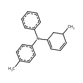 Cc1ccc(N(C2=CC=CC(C)C2)c2ccccc2)cc1